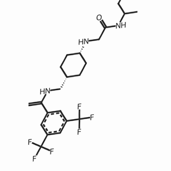 C=C(NC[C@H]1CC[C@@H](NCC(=O)NC(C)CC)CC1)c1cc(C(F)(F)F)cc(C(F)(F)F)c1